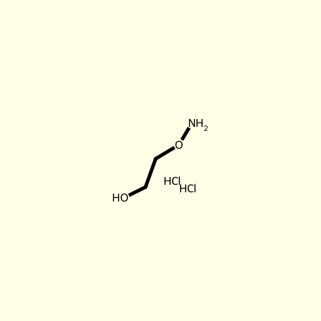 Cl.Cl.NOCCO